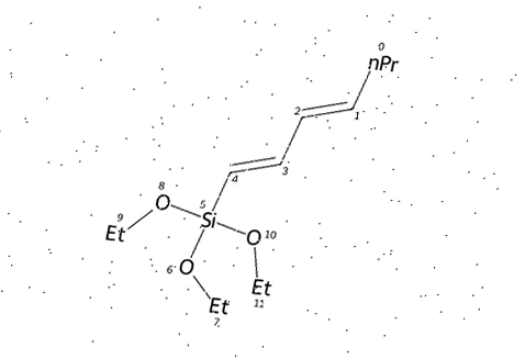 CCC/C=C/C=C/[Si](OCC)(OCC)OCC